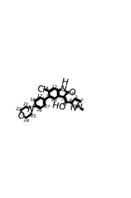 Cn1ccc(C(O)=C2C(=O)Nc3cc(Cl)c(-c4ccc(N5CCOCC5)cc4)cc32)n1